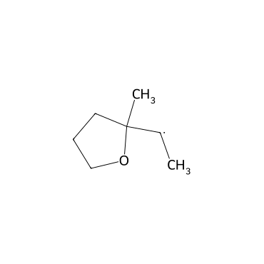 C[CH]C1(C)CCCO1